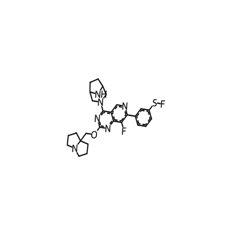 FSc1cccc(-c2ncc3c(N4CC5CCC(C4)N5)nc(OCC45CCCN4CCC5)nc3c2F)c1